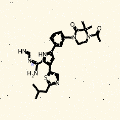 CC(=O)N1CCN(c2cccc(-c3cc(-c4cnc(CC(C)C)s4)c(/C(N)=N\C=N)[nH]3)c2)C(=O)C1(C)C